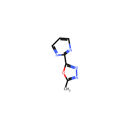 Cc1nnc(-c2ncccn2)o1